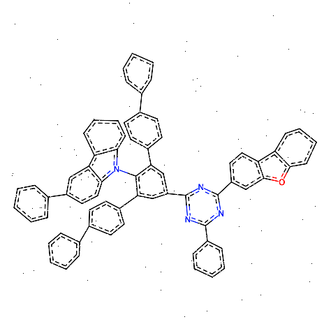 c1ccc(-c2ccc(-c3cc(-c4nc(-c5ccccc5)nc(-c5ccc6c(c5)oc5ccccc56)n4)cc(-c4ccc(-c5ccccc5)cc4)c3-n3c4ccccc4c4cc(-c5ccccc5)ccc43)cc2)cc1